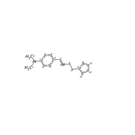 CN(C)c1ccc(C=NCCc2cccs2)cc1